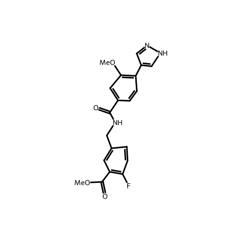 COC(=O)c1cc(CNC(=O)c2ccc(-c3cn[nH]c3)c(OC)c2)ccc1F